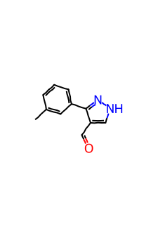 Cc1cccc(-c2n[nH]cc2C=O)c1